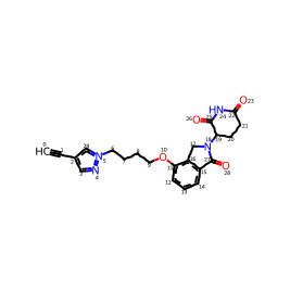 C#Cc1cnn(CCCCOc2cccc3c2CN(C2CCC(=O)NC2=O)C3=O)c1